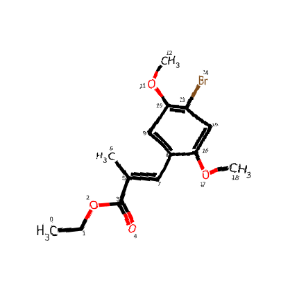 CCOC(=O)/C(C)=C/c1cc(OC)c(Br)cc1OC